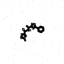 CC(NC(=O)c1cn(C)nn1)c1nnc(-c2ccccc2)s1